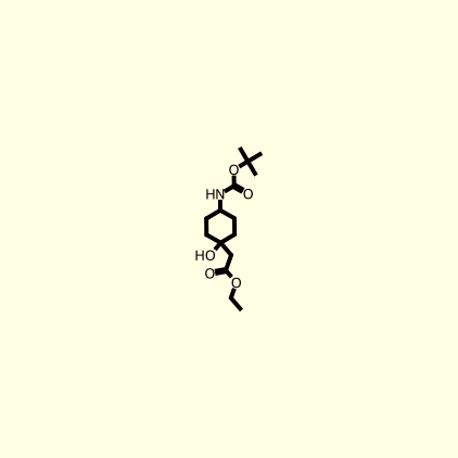 CCOC(=O)CC1(O)CCC(NC(=O)OC(C)(C)C)CC1